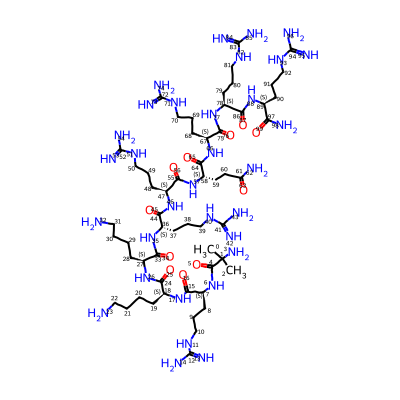 CC(C)(N)C(=O)N[C@@H](CCCNC(=N)N)C(=O)N[C@@H](CCCCN)C(=O)N[C@@H](CCCCN)C(=O)N[C@@H](CCCNC(=N)N)C(=O)N[C@@H](CCCNC(=N)N)C(=O)N[C@@H](CCC(N)=O)C(=O)N[C@@H](CCCNC(=N)N)C(=O)N[C@@H](CCCNC(=N)N)C(=O)N[C@@H](CCCNC(=N)N)C(N)=O